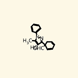 Cc1c(O)c(C2(C=O)C=CC=CC2)nn1-c1ccccc1